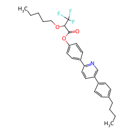 CCCCCOC(C(=O)Oc1ccc(-c2ccc(-c3ccc(CCCC)cc3)cn2)cc1)C(F)(F)F